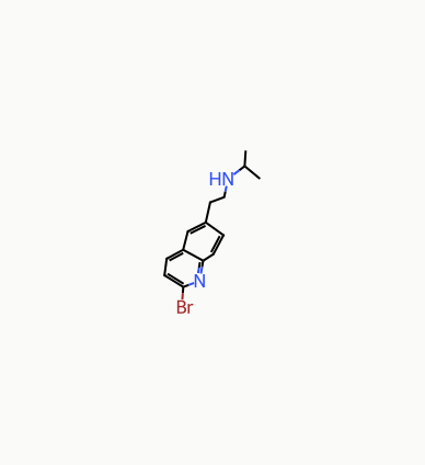 CC(C)NCCc1ccc2nc(Br)ccc2c1